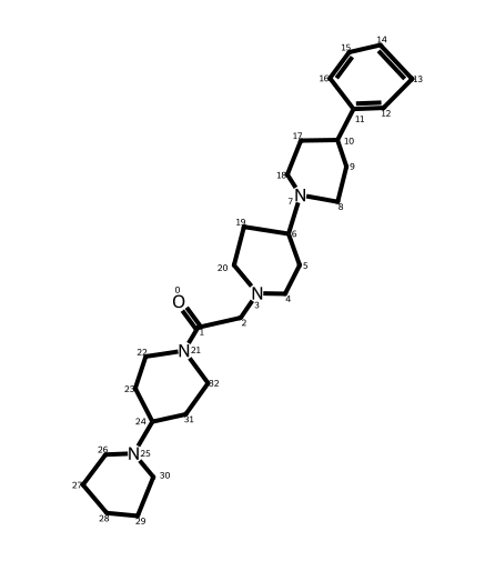 O=C(CN1CCC(N2CCC(c3ccccc3)CC2)CC1)N1CCC(N2CCCCC2)CC1